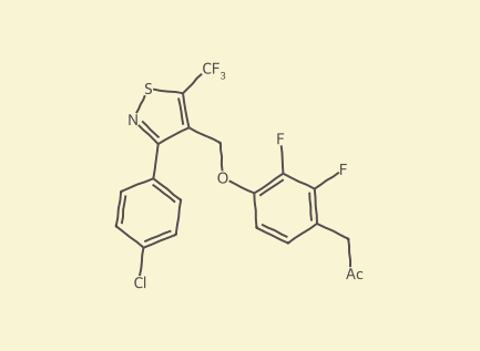 CC(=O)Cc1ccc(OCc2c(-c3ccc(Cl)cc3)nsc2C(F)(F)F)c(F)c1F